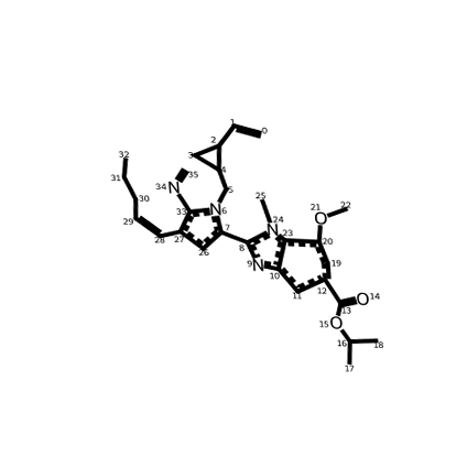 C=CC1CC1Cn1c(-c2nc3cc(C(=O)OC(C)C)cc(OC)c3n2C)cc(/C=C\CCC)c1N=C